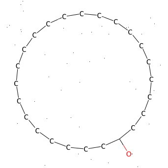 [O]C1CCCCCCCCCCCCCCCCCCCCCCC1